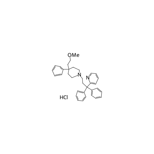 COCCC1(c2ccccc2)CCN(CCC(c2ccccc2)(c2ccccc2)c2ccccn2)CC1.Cl